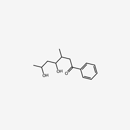 CC(O)CC(O)C(C)CC(=O)c1ccccc1